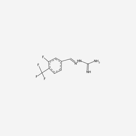 N=C(N)N/N=C/c1ccc(C(F)(F)F)c(F)c1